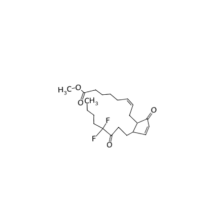 CCCCC(F)(F)C(=O)CCC1C=CC(=O)C1C/C=C\CCCCC(=O)OC